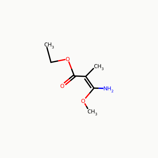 CCOC(=O)/C(C)=C(/N)OC